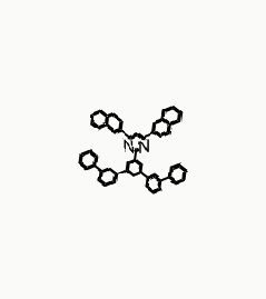 c1ccc(-c2cccc(-c3cc(-c4cccc(-c5ccccc5)c4)cc(-c4nc(-c5ccc6ccccc6c5)cc(-c5ccc6ccccc6c5)n4)c3)c2)cc1